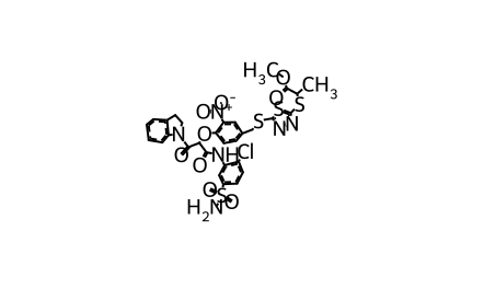 COC(=O)C(C)Sc1nnc(SCc2ccc(OC(C(=O)Nc3cc(S(N)(=O)=O)ccc3Cl)C(=O)N3CCc4ccccc43)c([N+](=O)[O-])c2)s1